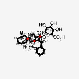 Cc1onc(-c2ccccc2OC(F)(F)F)c1CO[C@H]1C[C@H]2CC[C@@H](C1)N2c1ccc(C(=O)O[C@@H]2O[C@H](C(=O)O)[C@@H](O)[C@H](O)[C@H]2O)cn1